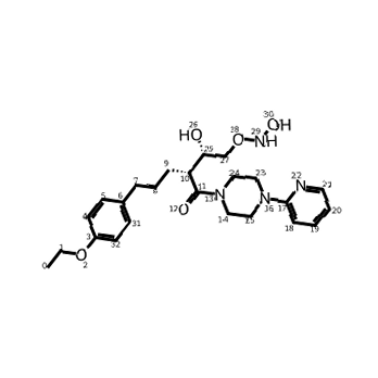 CCOc1ccc(CCC[C@@H](C(=O)N2CCN(c3ccccn3)CC2)[C@H](O)CONO)cc1